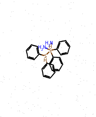 N[SH](N)(c1ccccc1)(c1ccccc1)[SH](c1ccccc1)c1ccccc1